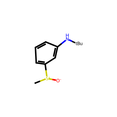 C[S+]([O-])c1cccc(NC(C)(C)C)c1